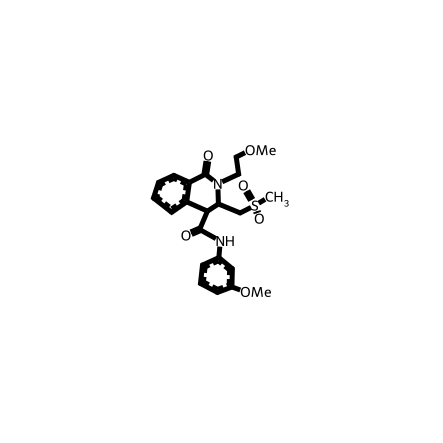 COCCN1C(=O)c2ccccc2C(C(=O)Nc2cccc(OC)c2)C1CS(C)(=O)=O